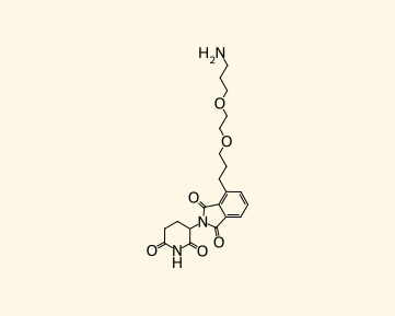 NCCCOCCOCCCc1cccc2c1C(=O)N(C1CCC(=O)NC1=O)C2=O